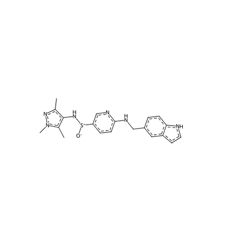 Cc1nn(C)c(C)c1N[S+]([O-])c1ccc(NCc2ccc3[nH]ccc3c2)nc1